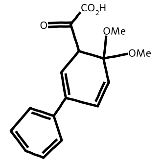 COC1(OC)C=CC(c2ccccc2)=CC1C(=O)C(=O)O